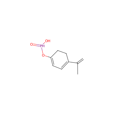 C=C(C)C1=CC=C(O[PH](=O)O)CC1